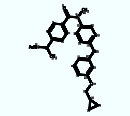 CC(=O)NC(C)c1ccc(C(=O)N(C)c2ccc(Oc3cccc(OCC4CC4)c3)nc2)cc1